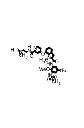 COc1c(NC(=O)c2cc3cccc(Oc4ccnc(C(=O)NCCN(C)C)c4)c3n2C)cc(C(C)(C)C)cc1NS(C)(=O)=O